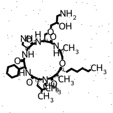 CCCCCC[C@H]1OC[C@@H](C)NC(=O)[C@H](COCC(O)CN)NC(=O)[C@H](CN)NC(=O)C(C2CCCCC2)NC(=O)[C@H](CC(C)C)N(C)C(=O)[C@@H]1C